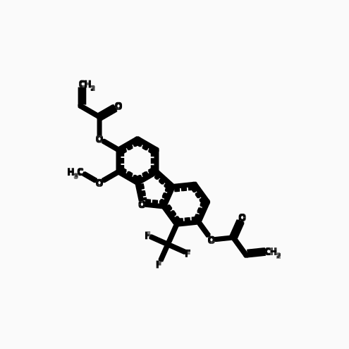 C=CC(=O)Oc1ccc2c(oc3c(C(F)(F)F)c(OC(=O)C=C)ccc32)c1OC